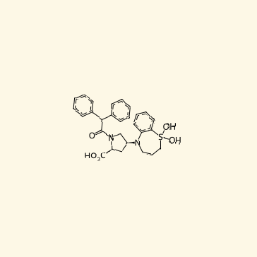 O=C(O)[C@@H]1C[C@H](N2CCCS(O)(O)c3ccccc32)CN1C(=O)C(c1ccccc1)c1ccccc1